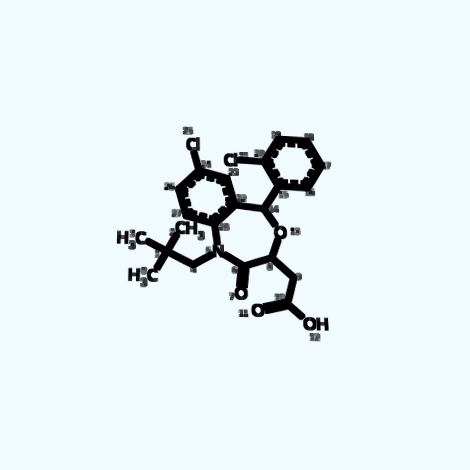 CC(C)(C)CN1C(=O)C(CC(=O)O)OC(c2ccccc2Cl)c2cc(Cl)ccc21